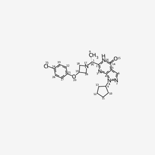 C[C@H](c1nc2c(cnn2C2CCCC2)c(=O)[nH]1)N1CC(Oc2ccc(Cl)cc2)C1